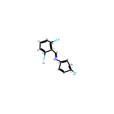 Fc1ccc(N=Cc2c(F)cccc2F)cc1